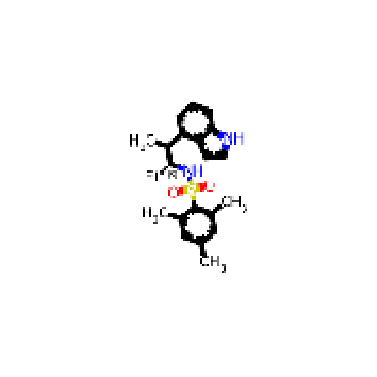 CC[C@H](NS(=O)(=O)c1c(C)cc(C)cc1C)C(C)c1cccc2[nH]ccc12